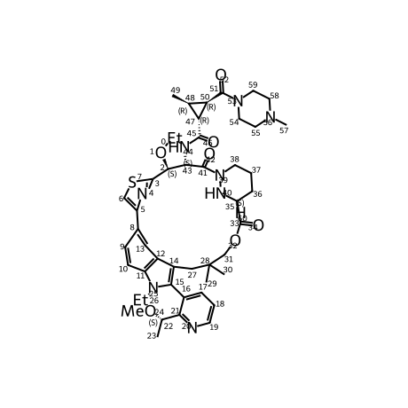 CCO[C@@H]1c2nc(cs2)-c2ccc3c(c2)c(c(-c2cccnc2[C@H](C)OC)n3CC)CC(C)(C)COC(=O)[C@@H]2CCCN(N2)C(=O)[C@H]1NC(=O)[C@@H]1[C@@H](C)[C@H]1C(=O)N1CCN(C)CC1